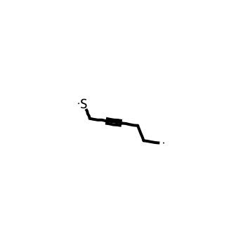 [CH2]CCC#CC[S]